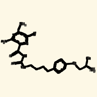 N=C(NCCCCc1ccc(OCC(N)O)cc1)NC(=O)c1nc(Cl)c(N)nc1N